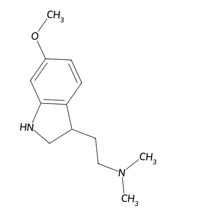 COc1ccc2c(c1)NCC2CCN(C)C